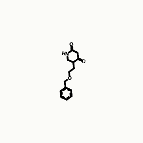 O=C1CC(=O)C(CCOCc2ccccc2)CN1